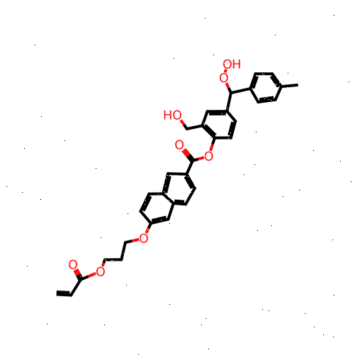 C=CC(=O)OCCCOc1ccc2cc(C(=O)Oc3ccc(C(OO)c4ccc(C)cc4)cc3CO)ccc2c1